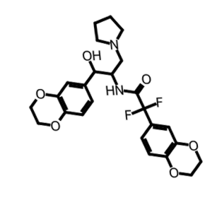 O=C(NC(CN1CCCC1)C(O)c1ccc2c(c1)OCCO2)C(F)(F)c1ccc2c(c1)OCCO2